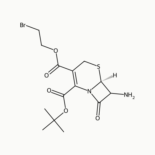 CC(C)(C)OC(=O)C1=C(C(=O)OCCBr)CS[C@H]2C(N)C(=O)N12